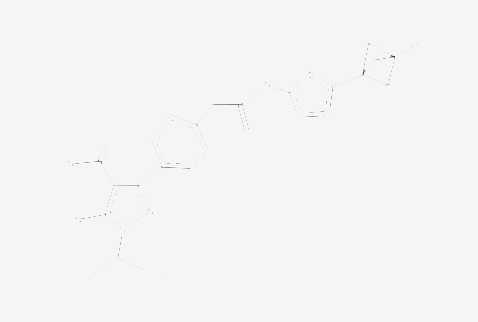 CC(C)n1nc(-c2ccc(CC(=O)Nc3cc(C45CC(F)(C4)C5)no3)cc2)c(C(N)=O)c1N